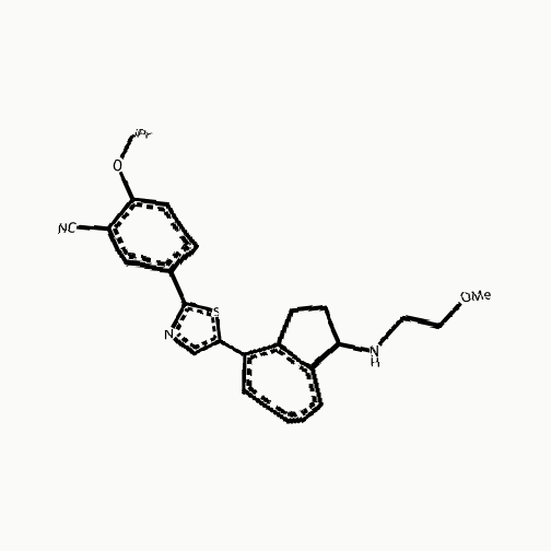 COCCNC1CCc2c(-c3cnc(-c4ccc(OC(C)C)c(C#N)c4)s3)cccc21